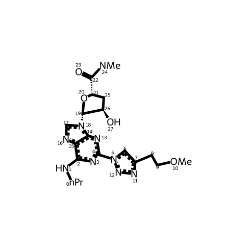 CCCNc1nc(-n2cc(CCOC)nn2)nc2c1ncn2[C@@H]1O[C@H](C(=O)NC)C[C@H]1O